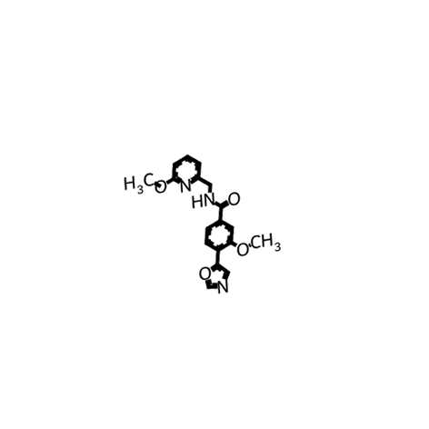 COc1cccc(CNC(=O)c2ccc(-c3cnco3)c(OC)c2)n1